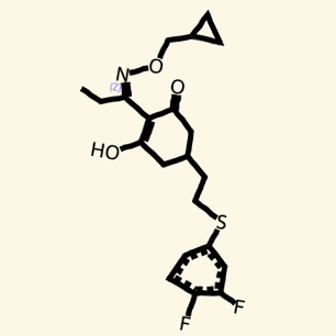 CC/C(=N/OCC1CC1)C1=C(O)CC(CCSc2ccc(F)c(F)c2)CC1=O